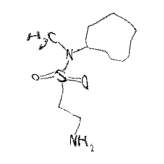 CN(C1CCCCC1)S(=O)(=O)CCN